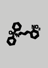 O=[N+]([O-])c1ccccc1C=CC=NP(=O)(c1ccccc1)c1ccccc1